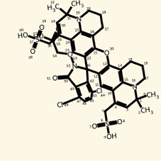 CC1(C)C=C(CS(=O)(=O)O)c2cc3c(c4c2N1CCC4)Oc1c(cc2c4c1CCCN4C(C)(C)C=C2CS(=O)(=O)O)C31c2c(Cl)ccc(Cl)c2C(=O)N1OCC(=O)O